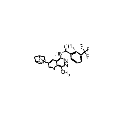 Cc1nnc(NC(C)c2cccc(C(F)(F)F)c2)c2cc(N3CC4CC(C3)O4)cnc12